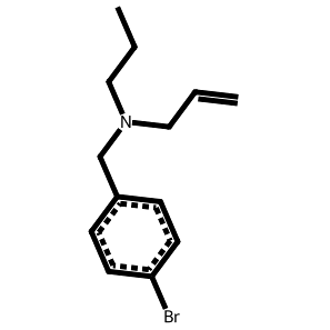 C=CCN(CCC)Cc1ccc(Br)cc1